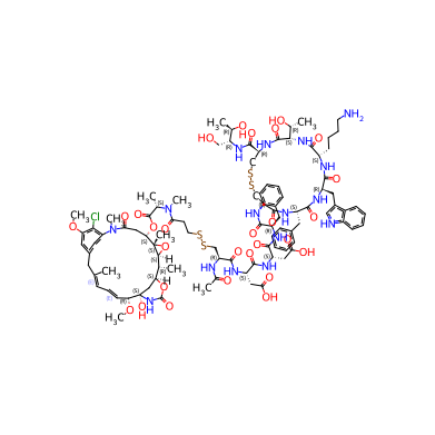 COc1cc2cc(c1Cl)N(C)C(=O)C[C@H](OC(=O)[C@H](C)N(C)C(=O)CCSSC[C@H](NC(C)=O)C(=O)N[C@@H](CC(=O)O)C(=O)N[C@@H](CC(=O)O)C(=O)N[C@H](Cc1ccccc1)C(=O)N[C@H]1CSSC[C@@H](C(=O)N[C@H](CO)[C@@H](C)O)NC(=O)[C@H]([C@@H](C)O)NC(=O)[C@H](CCCCN)NC(=O)[C@@H](Cc3c[nH]c4ccccc34)NC(=O)[C@H](Cc3ccccc3)NC1=O)[C@]1(C)O[C@H]1[C@H](C)[C@@H]1C[C@@](O)(NC(=O)O1)[C@H](OC)/C=C/C=C(\C)C2